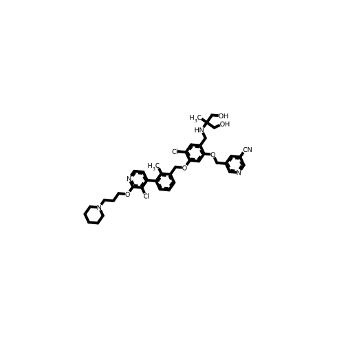 Cc1c(COc2cc(OCc3cncc(C#N)c3)c(CNC(C)(CO)CO)cc2Cl)cccc1-c1ccnc(OCCCN2CCCCC2)c1Cl